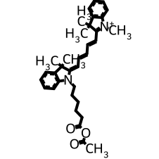 CC(=O)OC(=O)CCCCCN1/C(=C/C=C/C=C/C2=[N+](C)c3ccccc3C2(C)C)C(C)(C)c2ccccc21